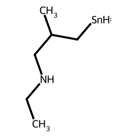 CCNCC(C)[CH2][SnH]